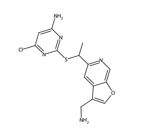 CC(Sc1nc(N)cc(Cl)n1)c1cc2c(CN)coc2cn1